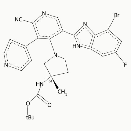 CC(C)(C)OC(=O)N[C@@]1(C)CCN(c2c(-c3nc4c(Br)cc(F)cc4[nH]3)cnc(C#N)c2-c2ccncc2)C1